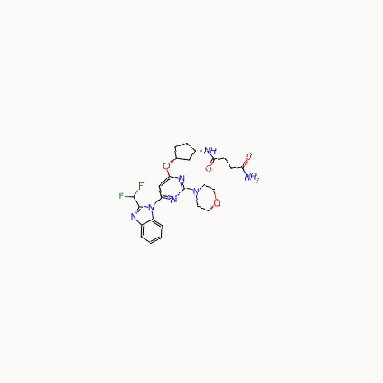 NC(=O)CCC(=O)N[C@H]1CC[C@H](Oc2cc(-n3c(C(F)F)nc4ccccc43)nc(N3CCOCC3)n2)C1